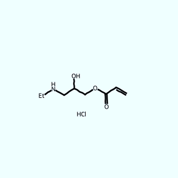 C=CC(=O)OCC(O)CNCC.Cl